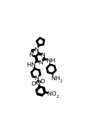 N[C@H]1CC[C@H](Nc2nc(NC3CCN(S(=O)(=O)c4cccc([N+](=O)[O-])c4)CC3)c3ncn(C4CCCC4)c3n2)CC1